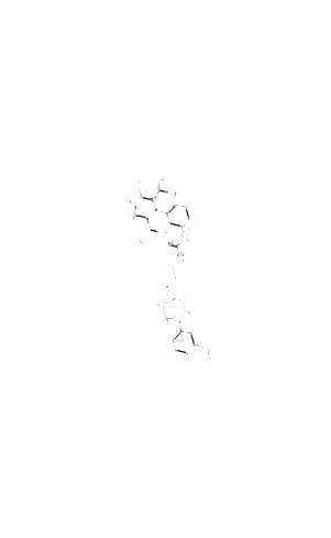 COc1cccc(N2CCN(CCCNC(=O)Nc3cccc(C4C(C(=O)O)=C(C)NC(C)=C4C(=O)O)c3)CC2)c1